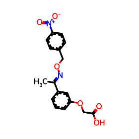 C/C(=N\OCc1ccc([N+](=O)[O-])cc1)c1cccc(OCC(=O)O)c1